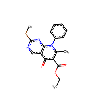 CCOC(=O)c1c(C)n(-c2ccccc2)c2nc(SC)ncc2c1=O